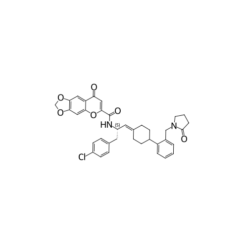 O=C(N[C@H](C=C1CCC(c2ccccc2CN2CCCC2=O)CC1)Cc1ccc(Cl)cc1)c1cc(=O)c2cc3c(cc2o1)OCO3